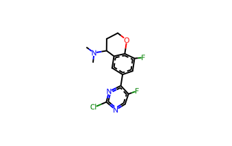 CN(C)C1CCOc2c(F)cc(-c3nc(Cl)ncc3F)cc21